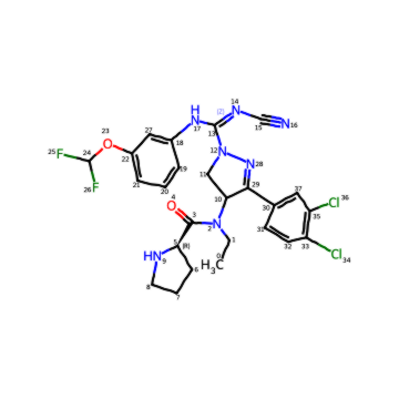 CCN(C(=O)[C@H]1CCCN1)C1CN(/C(=N\C#N)Nc2cccc(OC(F)F)c2)N=C1c1ccc(Cl)c(Cl)c1